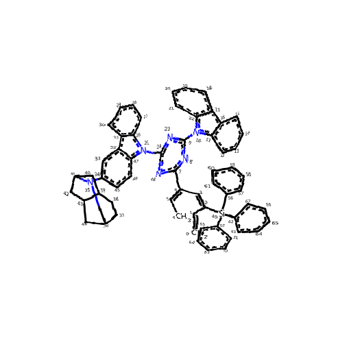 C=C/C(=C\C(=C/C)c1nc(-n2c3ccccc3c3ccccc32)nc(-n2c3ccccc3c3cc(N4C5CCC6CC4CC6C5)ccc32)n1)[Si](c1ccccc1)(c1ccccc1)c1ccccc1